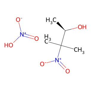 C[C@@H](O)C(C)(C)[N+](=O)[O-].O=[N+]([O-])O